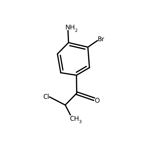 CC(Cl)C(=O)c1ccc(N)c(Br)c1